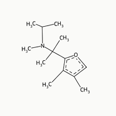 Cc1coc(C(C)(C)N(C)C(C)C)c1C